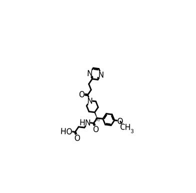 COc1ccc([C@@H](C(=O)NCCC(=O)O)C2CCN(C(=O)CCc3cnccn3)CC2)cc1